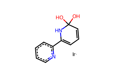 OC1(O)C=CC=C(c2ccccn2)N1.[Ir]